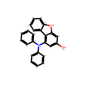 Oc1cc(N(c2ccccc2)c2ccccc2)c2c(c1)oc1ccccc12